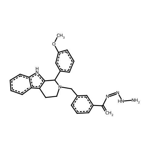 C=C(/N=N\NN)c1cccc(CN2CCc3c([nH]c4ccccc34)C2c2cccc(OC)c2)c1